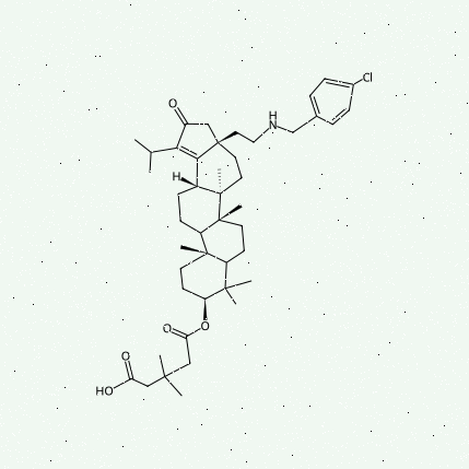 CC(C)C1=C2[C@H]3CCC4[C@@]5(C)CC[C@H](OC(=O)CC(C)(C)CC(=O)O)C(C)(C)C5CC[C@@]4(C)[C@]3(C)CC[C@@]2(CCNCc2ccc(Cl)cc2)CC1=O